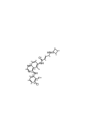 Cc1c(NC(=O)/C=C/CNC2CCC2)ccc2ncnc(Nc3cccc(Cl)c3F)c12